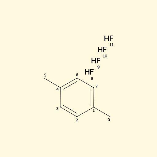 Cc1ccc(C)cc1.F.F.F.F